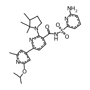 Cc1cc(-c2ccc(C(=O)NS(=O)(=O)c3cccc(N)n3)c(N3CCC(C)C3(C)C)n2)cc(OC(C)C)n1